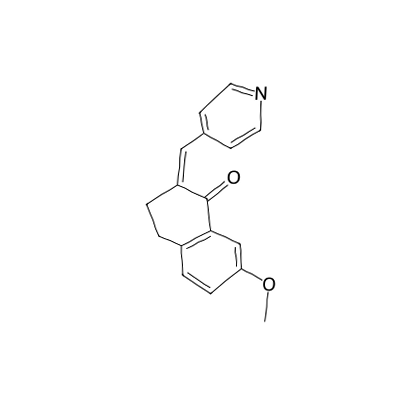 COc1ccc2c(c1)C(=O)C(=Cc1ccncc1)CC2